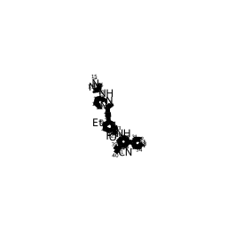 CCC1=C(C#Cc2cnc3c(Nc4cnn(C)c4)cccn23)CC(C)(C(=O)Nc2cc(-c3ccncc3)cc(C(C)(C)C#N)c2)C(F)=C1